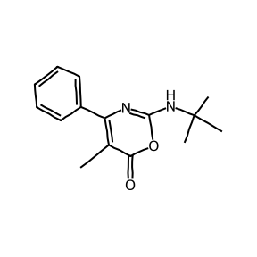 Cc1c(-c2ccccc2)nc(NC(C)(C)C)oc1=O